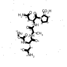 C[C@H](NC(=O)[C@H](CC(N)=O)NC(=O)OC(C)(C)C)C(=O)N[C@@H](CC(N)=O)C(=O)N1CCC[C@H]1C(=O)O